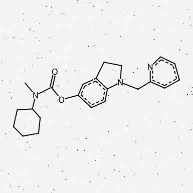 CN(C(=O)Oc1ccc2c(c1)CCN2Cc1ccccn1)C1CCCCC1